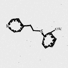 CC(=O)Oc1ccccc1SCCc1ccncc1